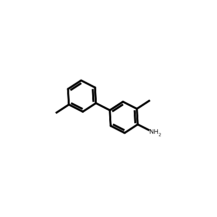 Cc1cccc(-c2ccc(N)c(C)c2)c1